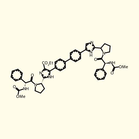 CCOC(=O)c1nc([C@@H]2CCCN2C(=O)[C@H](NC(=O)OC)c2ccccc2)[nH]c1-c1ccc(-c2ccc(-c3cnc(C4CCCN4C(=O)[C@@H](NC(=O)OC)c4ccccc4)[nH]3)cc2)cc1